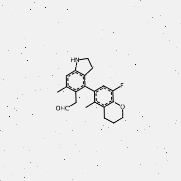 Cc1cc2c(c(-c3cc(F)c4c(c3C)CCCO4)c1CC=O)CCN2